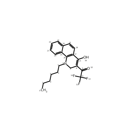 CCCCCCN1CC(C(=O)C(F)(F)F)=C(O)c2ccc3ccccc3c21